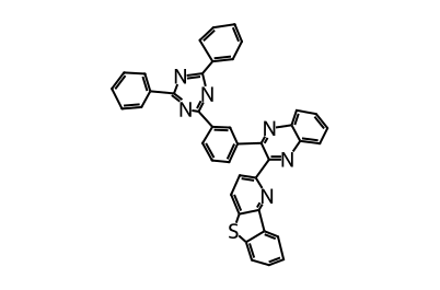 c1ccc(-c2nc(-c3ccccc3)nc(-c3cccc(-c4nc5ccccc5nc4-c4ccc5sc6ccccc6c5n4)c3)n2)cc1